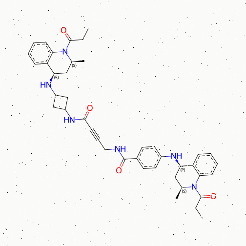 CCC(=O)N1c2ccccc2[C@H](Nc2ccc(C(=O)NCC#CC(=O)NC3CC(N[C@@H]4C[C@H](C)N(C(=O)CC)c5ccccc54)C3)cc2)C[C@@H]1C